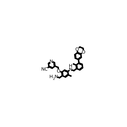 Cc1cc(CN)c(OCc2cncc(C#N)c2)cc1NCc1cccc(-c2ccc3c(c2)OCCO3)c1C